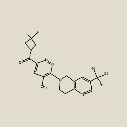 [2H]C([2H])([2H])c1cnc2c(c1)CN(c1nnc(C(=O)N3CC(F)(F)C3)cc1C)CC2